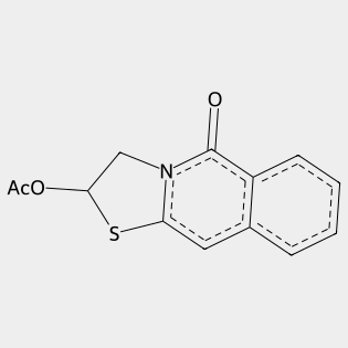 CC(=O)OC1Cn2c(cc3ccccc3c2=O)S1